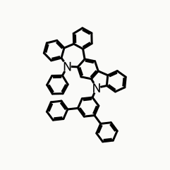 c1ccc(-c2cc(-c3ccccc3)cc(-n3c4ccccc4c4cc5c(cc43)N(c3ccccc3)c3ccccc3-c3ccccc3-5)c2)cc1